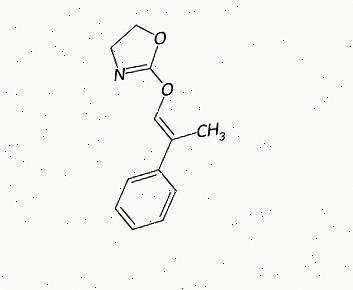 CC(=COC1=NCCO1)c1ccccc1